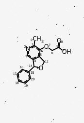 Cc1ncc2c(c1OCC(=O)O)COC2c1ccccc1